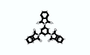 O=C1c2ccccc2C(=O)N1c1cc(N2C(=O)C3C4C=CC(C4)C3C2=O)cc(N2C(=O)C3C4C=CC(C4)C3C2=O)c1